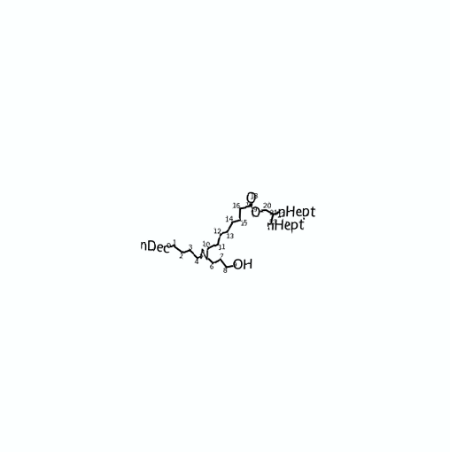 CCCCCCCCCCCCCCN(CCCO)CCCCCCCC(=O)OCC(CCCCCCC)CCCCCCC